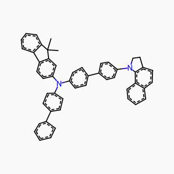 CC1(C)c2ccccc2-c2ccc(N(c3ccc(-c4ccccc4)cc3)c3ccc(-c4ccc(N5CCc6ccc7ccccc7c65)cc4)cc3)cc21